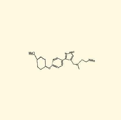 CNCCN(C)Cc1c[nH]nc1-c1ccc(OC2CCC(OC)CC2)cc1